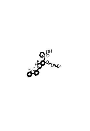 Cc1c(/C=C/c2cc(OCCOCCBr)c(CN3CCCC[C@@H]3C(=O)O)cc2C(F)(F)F)cccc1-c1ccccc1